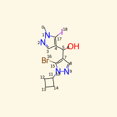 Cn1ncc(C(O)c2cnn(C3CCC3)c2Br)c1I